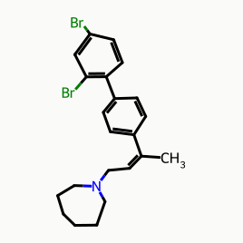 CC(=CCN1CCCCCC1)c1ccc(-c2ccc(Br)cc2Br)cc1